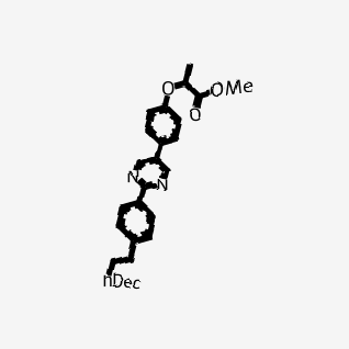 CCCCCCCCCCCCc1ccc(-c2ncc(-c3ccc(OC(C)C(=O)OC)cc3)cn2)cc1